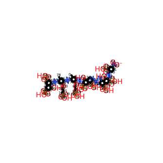 Cc1cc(N=Nc2c(S(=O)(=O)O)cc3c(S(=O)(=O)O)c(N=Nc4cc(S(=O)(=O)O)c5cc(S(=O)(=O)O)c(N=Nc6ccc([N+](=O)[O-])cc6S(=O)(=O)O)c(O)c5c4N)ccc3c2O)c(OCCCS(=O)(=O)O)cc1N=Nc1cc(C)c(N=Nc2cc(S(=O)(=O)O)cc3cc(S(=O)(=O)O)cc(O)c23)cc1OCCCS(=O)(=O)O